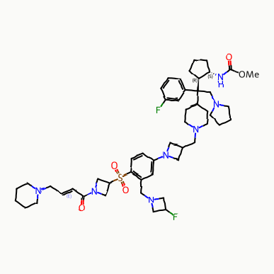 COC(=O)N[C@H]1CCC[C@@H]1C(CN1CCCC1)(c1cccc(F)c1)C1CCN(CC2CN(c3ccc(S(=O)(=O)C4CN(C(=O)/C=C/CN5CCCCC5)C4)c(CN4CC(F)C4)c3)C2)CC1